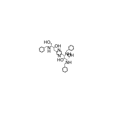 OC[C@H](NCc1ccccc1)[C@@H](O)[C@@H](NCc1ccccc1)c1cnc(C[C@H](O)[C@H](CO)NCc2ccccc2)cn1